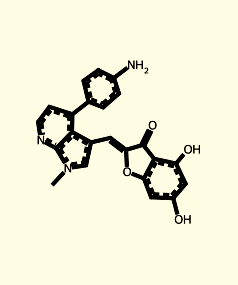 Cn1cc(/C=C2\Oc3cc(O)cc(O)c3C2=O)c2c(-c3ccc(N)cc3)ccnc21